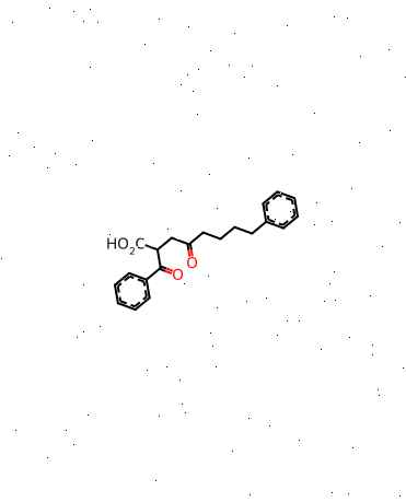 O=C(CCCCc1ccccc1)CC(C(=O)O)C(=O)c1ccccc1